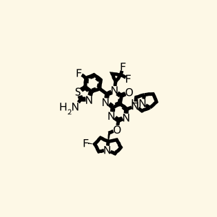 Nc1nc2c(-c3nc4nc(OC[C@@]56CCCN5C[C@H](F)C6)nc(N5CC6CCC(C5)N6)c4c(=O)n3C3CC3(F)F)ccc(F)c2s1